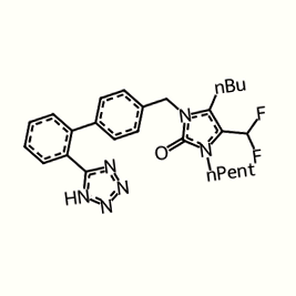 CCCCCn1c(C(F)F)c(CCCC)n(Cc2ccc(-c3ccccc3-c3nnn[nH]3)cc2)c1=O